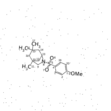 COc1ccc(S(=O)(=O)N2CC3(C)CC2CC(C)(C)C3)cc1